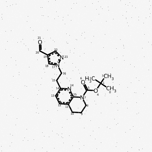 CC(C)(C)OC(=O)N1CCCc2ccc(CCn3cc(C=O)cn3)nc21